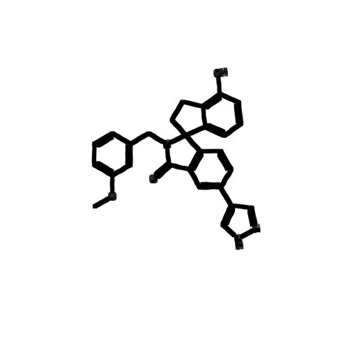 COc1cccc(CN2C(=O)c3cc(-c4cn[nH]c4)ccc3C23CCc2c(O)cccc23)c1